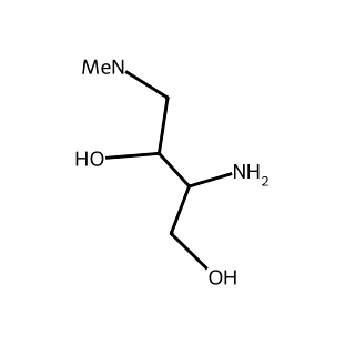 CNCC(O)C(N)CO